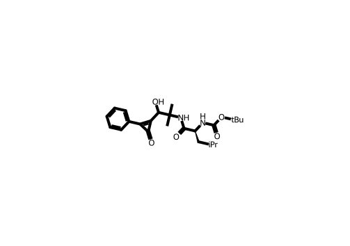 CC(C)C[C@H](NC(=O)OC(C)(C)C)C(=O)NC(C)(C)C(O)c1c(-c2ccccc2)c1=O